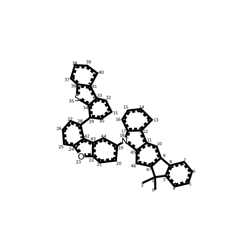 CC1(C)c2ccccc2-c2cc3c4ccccc4n(-c4ccc5oc6cccc(-c7cccc8c7sc7ccccc78)c6c5c4)c3cc21